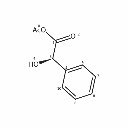 CC(=O)OC(=O)[C@H](O)c1ccccc1